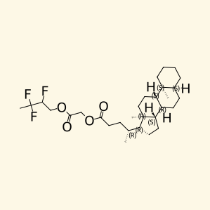 C[C@H](CCC(=O)OCC(=O)OCC(F)C(C)(F)F)[C@H]1CC[C@H]2[C@@H]3CC[C@@H]4CCCC[C@]4(C)[C@H]3CC[C@]12C